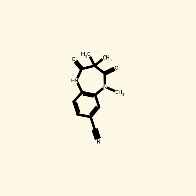 CN1C(=O)C(C)(C)C(=O)Nc2ccc(C#N)cc21